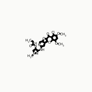 C=CC(=O)Nc1cn(C)nc1Nc1cc2cc(C(=O)c3c(Cl)c(OC)cc(OC)c3Cl)oc2cn1